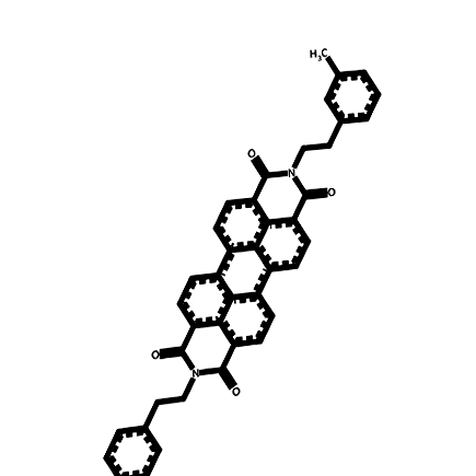 Cc1cccc(CCN2C(=O)c3ccc4c5ccc6c7c(ccc(c8ccc(c3c48)C2=O)c75)C(=O)N(CCc2ccccc2)C6=O)c1